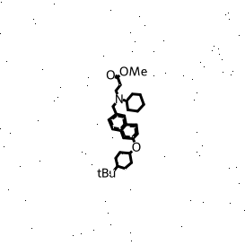 COC(=O)CCN(Cc1ccc2cc(OC3CCC(C(C)(C)C)CC3)ccc2c1)C1CCCCC1